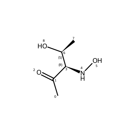 CC(=O)[C@H](NO)[C@H](C)O